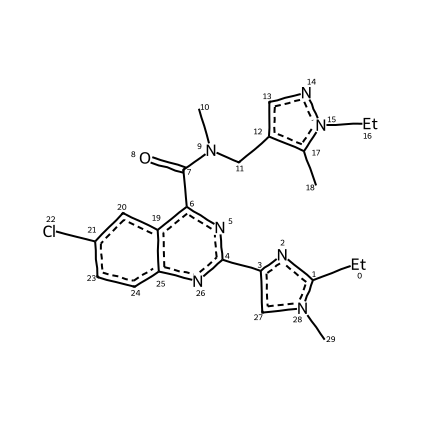 CCc1nc(-c2nc(C(=O)N(C)Cc3cnn(CC)c3C)c3cc(Cl)ccc3n2)cn1C